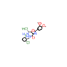 COc1ccc(-c2nc(C(=O)NCc3c(F)cccc3Cl)c([C@H](C)N)o2)cc1OC.Cl